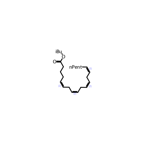 CCCCC/C=C\C/C=C\C/C=C\C/C=C\CCCC(=O)OC(C)CC